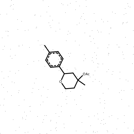 CC(=O)OC1(C)CCOC(c2ccc(C)cc2)C1